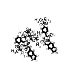 CN(C)S(=O)(=O)c1ccc([C@@H](CS(=O)(=O)Cc2ccc3sccc3c2)NO)cc1.CN(C)S(=O)(=O)c1ccccc1[C@@H](CS(=O)(=O)Cc1ccc2sccc2c1)N(OC(=O)OC(C)(C)C)C(=O)OC(C)(C)C